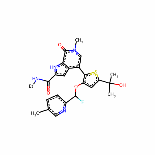 CCNC(=O)c1cc2c(-c3sc(C(C)(C)O)cc3OC(F)c3ccc(C)cn3)cn(C)c(=O)c2[nH]1